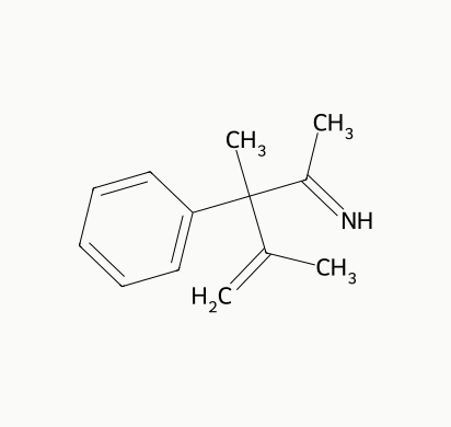 C=C(C)C(C)(C(C)=N)c1ccccc1